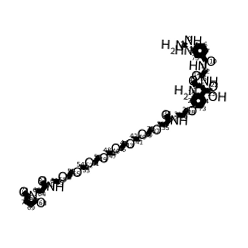 N=C(N)Nc1cccc(C(=O)NCC(=O)NC(C(N)=O)C(C(=O)O)c2ccc(OCCCNC(=O)CCOCCOCCOCCOCCOCCOCCOCCOCCNC(=O)CCN3C(=O)C=CC3=O)cc2)c1